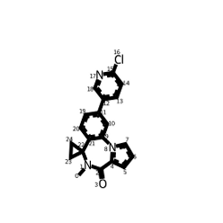 CN1C(=O)c2cccn2-c2cc(-c3ccc(Cl)nc3)ccc2C12CC2